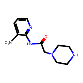 O=C(CN1CCNCC1)Nc1ncccc1[N+](=O)[O-]